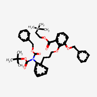 CC(C)(C)OC(=O)N(C(=O)OCc1ccccc1)c1ccccc1CCCOc1c(OCc2ccccc2)cccc1C(=O)OCC[Si](C)(C)C